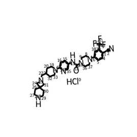 Cl.N#Cc1ccc(N2CCN(C(=O)Nc3ccc(N4CCC(CN5CC6(CCNCC6)C5)CC4)nc3)CC2)cc1C(F)(F)F